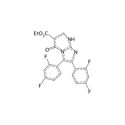 CCOC(=O)c1c[nH]c2nc(-c3ccc(F)cc3F)c(-c3ccc(F)cc3F)n2c1=O